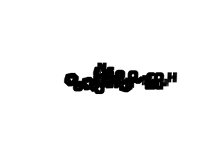 Cc1cc(Oc2ccccc2)ccc1N1C(=O)Nc2c(C(=O)NC3CCCN(C(=O)CCN(C(=O)O)C(C)(C)C)C3)sc3nccc1c23